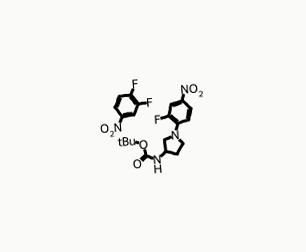 CC(C)(C)OC(=O)NC1CCN(c2ccc([N+](=O)[O-])cc2F)C1.O=[N+]([O-])c1ccc(F)c(F)c1